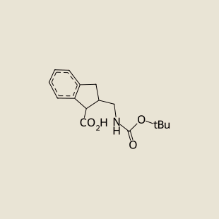 CC(C)(C)OC(=O)NCC1Cc2ccccc2C1C(=O)O